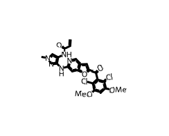 C=CC(=O)Nc1cn(C)nc1Nc1cc2oc(C(=O)c3c(Cl)c(OC)cc(OC)c3Cl)cc2cn1